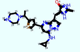 C=c1[nH]c(=O)/c(=C/c2cnn3c(NC4CC4)cc(-c4csc(C(C)N5CCN(C)CC5)c4)nc23)[nH]1